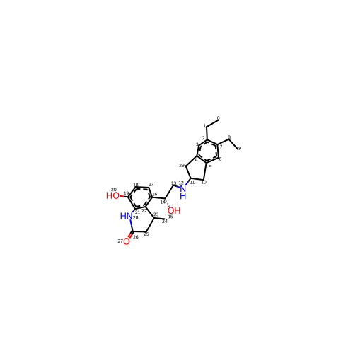 CCc1cc2c(cc1CC)CC(NC[C@H](O)c1ccc(O)c3c1C(C)CC(=O)N3)C2